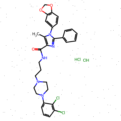 Cc1c(C(=O)NCCCN2CCN(c3cccc(Cl)c3Cl)CC2)nc(-c2ccccc2)n1-c1ccc2c(c1)OCO2.Cl.Cl